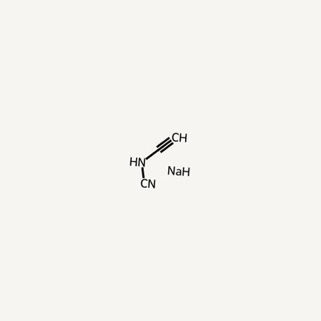 C#CNC#N.[NaH]